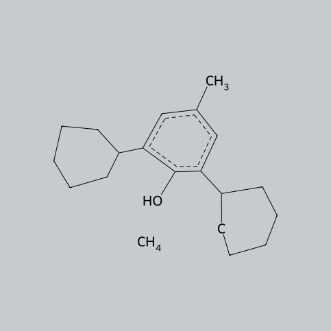 C.Cc1cc(C2CCCCC2)c(O)c(C2CCCCC2)c1